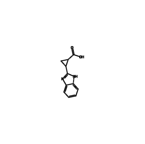 O=C(O)C1CC1c1nc2ccccc2[nH]1